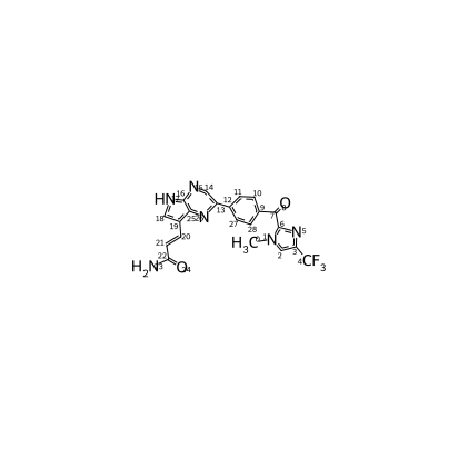 Cn1cc(C(F)(F)F)nc1C(=O)c1ccc(-c2cnc3[nH]cc(/C=C/C(N)=O)c3n2)cc1